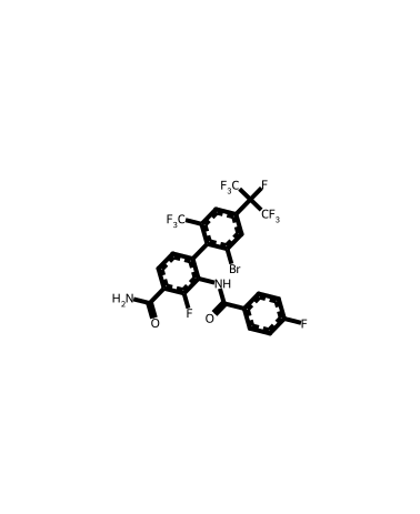 NC(=O)c1ccc(-c2c(Br)cc(C(F)(C(F)(F)F)C(F)(F)F)cc2C(F)(F)F)c(NC(=O)c2ccc(F)cc2)c1F